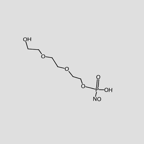 O=NP(=O)(O)OCCOCCOCCO